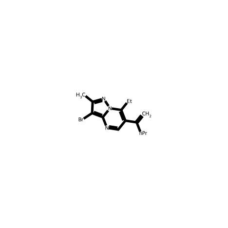 C=C(CCC)c1cnc2c(Br)c(C)nn2c1CC